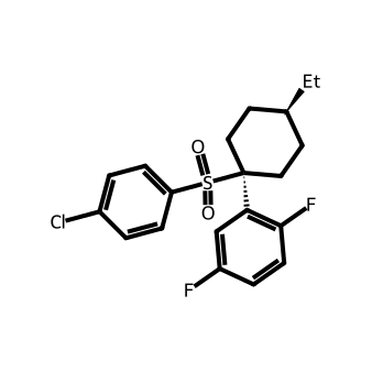 CC[C@H]1CC[C@@](c2cc(F)ccc2F)(S(=O)(=O)c2ccc(Cl)cc2)CC1